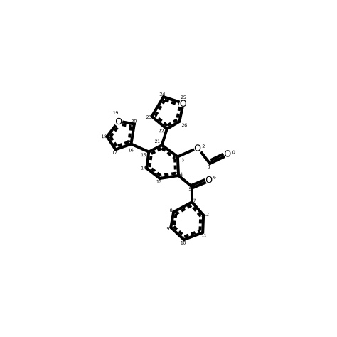 O=COc1c(C(=O)c2ccccc2)ccc(-c2ccoc2)c1-c1ccoc1